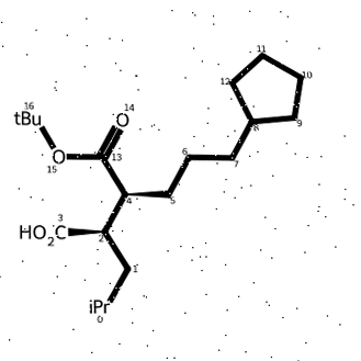 CC(C)C[C@@H](C(=O)O)[C@H](CCCC1CCCC1)C(=O)OC(C)(C)C